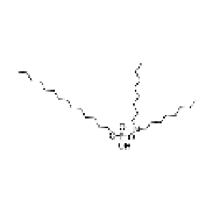 CCCCCCCCCCCCCCOP(=O)(O)ON(CCCCCCCC)CCCCCCCC